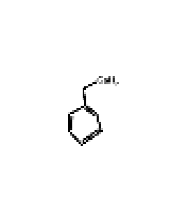 [GaH2][CH2]c1ccccc1